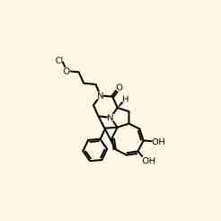 O=C1[C@@H]2CC3/C=C(O)\C(O)=C/C4=CC3(Cc3ccccc3)N2C4CN1CCCOCl